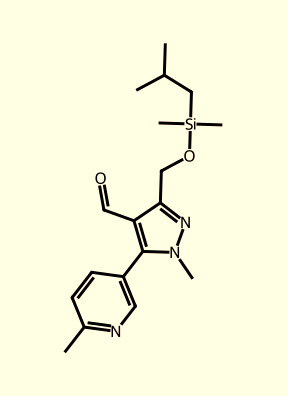 Cc1ccc(-c2c(C=O)c(CO[Si](C)(C)CC(C)C)nn2C)cn1